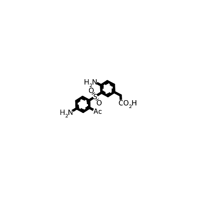 CC(=O)c1cc(N)ccc1S(=O)(=O)c1cc(CC(=O)O)ccc1N